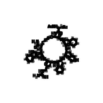 CCCC[C@H](NC(C)=O)C(=O)N[C@H]1CSSC[C@@H](C(N)=O)NC(=O)[C@H](Cc2c[nH]c3ccccc23)NC(=O)[C@H](CCCNC(=N)N)NC(=O)[C@@H](Cc2ccccc2)NC(=O)[C@H](Cc2c[nH]cn2)NC(=O)[C@@H](CC2CCCCC2)NC1=O